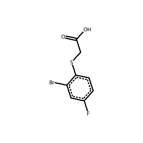 O=C(O)CSc1ccc(F)cc1Br